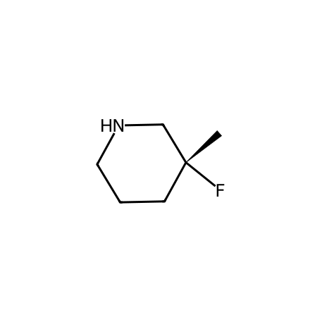 C[C@@]1(F)CCCNC1